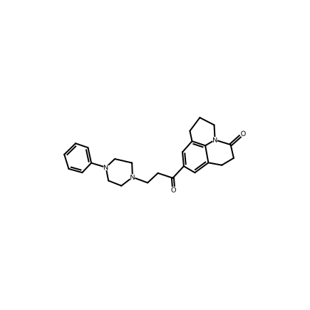 O=C(CCN1CCN(c2ccccc2)CC1)c1cc2c3c(c1)CCC(=O)N3CCC2